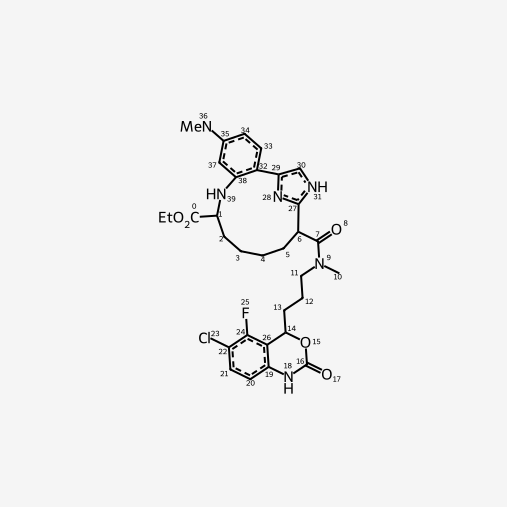 CCOC(=O)C1CCCCC(C(=O)N(C)CCCC2OC(=O)Nc3ccc(Cl)c(F)c32)c2nc(c[nH]2)-c2ccc(NC)cc2N1